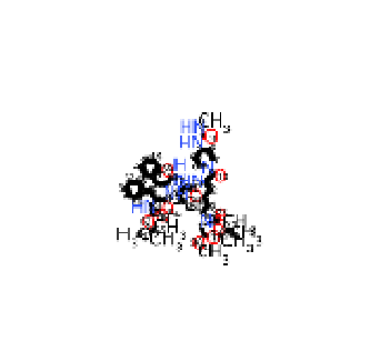 CNC(=O)NC1CCN(C(=O)C(CCCCN(CC(=O)OC)C(=O)OC(C)(C)C)NC(=O)C(CC(C)C)NC(=O)C(Cc2ccccc2)NC(=O)C(Cc2ccccc2)NC(=O)OC(C)(C)C)CC1